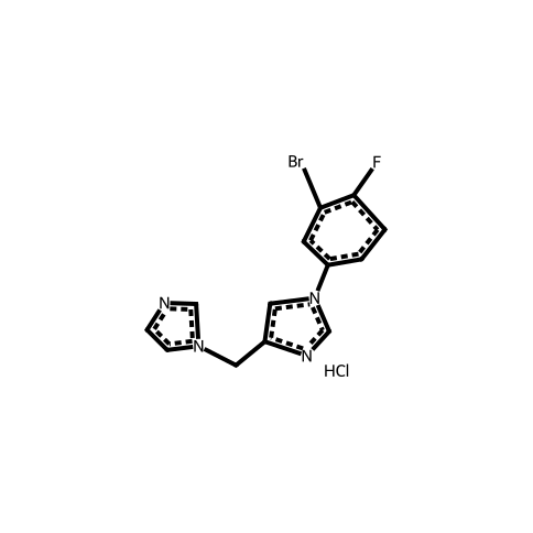 Cl.Fc1ccc(-n2cnc(Cn3ccnc3)c2)cc1Br